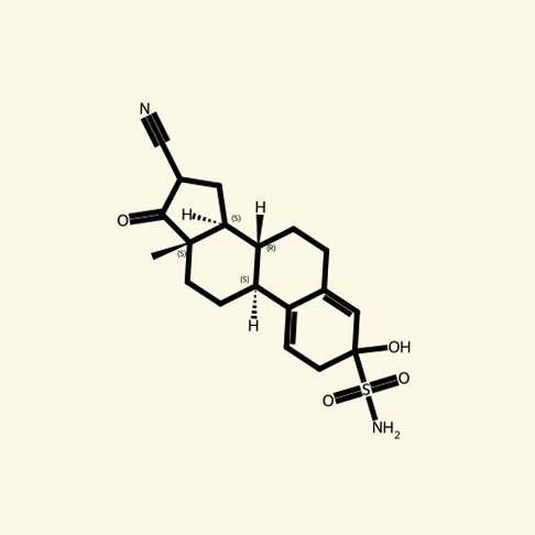 C[C@]12CC[C@@H]3C4=CCC(O)(S(N)(=O)=O)C=C4CC[C@H]3[C@@H]1CC(C#N)C2=O